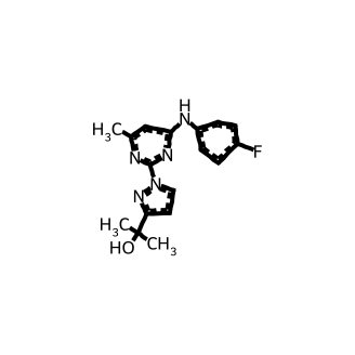 Cc1cc(Nc2ccc(F)cc2)nc(-n2ccc(C(C)(C)O)n2)n1